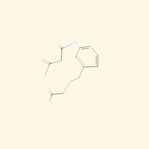 CC(=O)CC(N)=O.O=C(O)CCCc1ccccc1